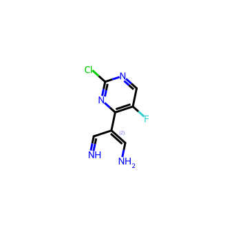 N=C/C(=C\N)c1nc(Cl)ncc1F